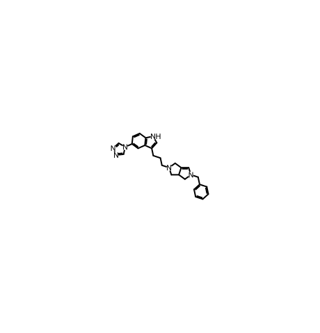 C1=C2CN(CCCc3c[nH]c4ccc(-n5cnnc5)cc34)CC2CN1Cc1ccccc1